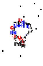 CC(C)[Si](OC1CCC2(/C=C/c3ccc4ccc(nc4c3)[C@@H](C)NC(=O)[C@@H]3CCCN(N3)C(=O)[C@H](C)NC(=O)[C@H](C3CC3)OC2=O)C1)(C(C)C)C(C)C